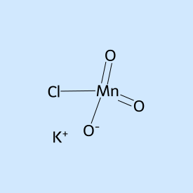 [K+].[O]=[Mn](=[O])([O-])[Cl]